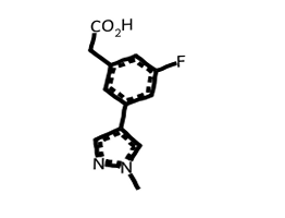 Cn1cc(-c2cc(F)cc(CC(=O)O)c2)cn1